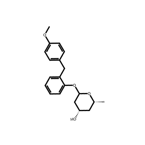 COc1ccc(Cc2ccccc2OC2C[C@@H](O)C[C@@H](C)O2)cc1